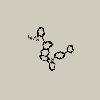 CNc1ccccc1-c1ccc2c(c1)Cc1ccc3c4ccccc4n(-c4ccc(-c5ccccc5)cc4)c3c1C2